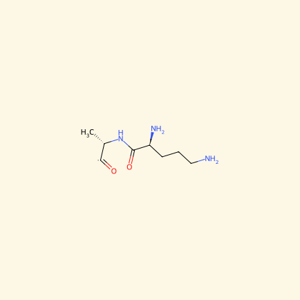 C[C@@H]([C]=O)NC(=O)[C@@H](N)CCCN